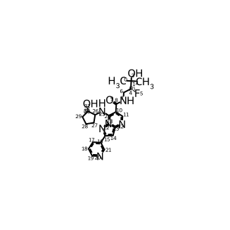 CC(C)(O)[C@H](F)CNC(=O)c1cnc2cc(-c3cccnc3)nn2c1NC1CCC[C@H]1O